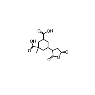 CC1(C(=O)O)CC(C(=O)O)CC(C2CC(=O)OC2=O)C1